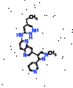 CCC1=CNNC(Nc2ccc3ncc(-c4cn(C)nc4-c4cccnc4)cc3n2)=C1